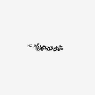 CC(C)[C@H](NC(=O)O)C(=O)N1CCC[C@H]1c1nc2cc(-c3ccc4cc(-c5ccc6[nH]c([C@@H]7CCCN7)nc6c5)ccc4c3)ccc2[nH]1